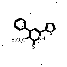 CCOC(=O)c1c(-c2ccccc2)cc(-c2cccs2)[nH]c1=S